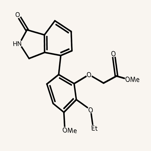 CCOc1c(OC)ccc(-c2cccc3c2CNC3=O)c1OCC(=O)OC